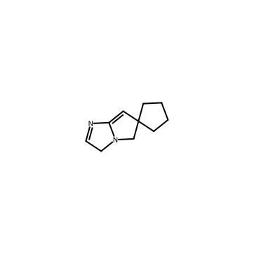 C1=NC2=CC3(CCCC3)CN2C1